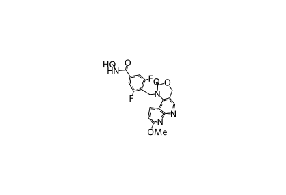 COc1ccc2c3c(cnc2n1)COC(=O)N3Cc1c(F)cc(C(=O)NO)cc1F